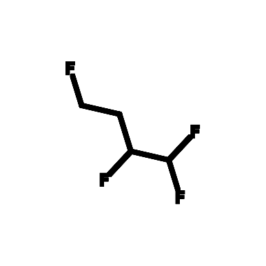 FCCC(F)C(F)F